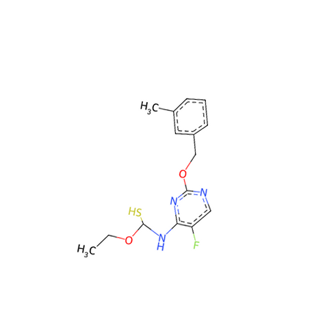 CCOC(S)Nc1nc(OCc2cccc(C)c2)ncc1F